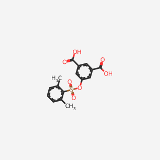 Cc1cccc(C)c1S(=O)(=O)Oc1cc(C(=O)O)cc(C(=O)O)c1